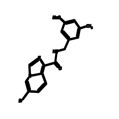 COc1cc(C)cc(CNC(=O)c2ncn3cc(Br)ccc23)c1